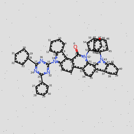 O=c1c2c(ccc3c2c2ccccc2n3-c2nc(-c3ccccc3)nc(-c3ccccc3)n2)c2ccc3c4ccccc4n(-c4ccccc4)c3c2n1-c1ccccc1